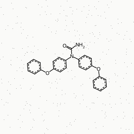 NC(=O)N(c1ccc(Oc2ccccc2)cc1)c1ccc(Oc2ccccc2)cc1